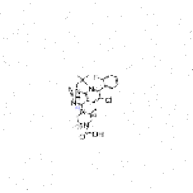 C[C@@H]1CN(/C(=N/C#N)c2cc(Cl)c(-c3ccccc3F)nc2NCC(C)(C)C)[C@@H](C)CN1C(=O)O